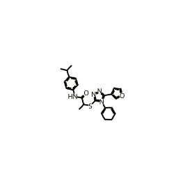 CC(Sc1nnc(-c2ccoc2)n1C1=CCCC=C1)C(=O)Nc1ccc(C(C)C)cc1